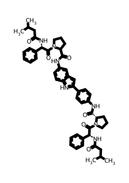 CC(C)CC(=O)N[C@H](C(=O)N1CCCC1C(=O)Nc1ccc2[nH]c(-c3ccc(NC(=O)[C@@H]4CCCN4C(=O)[C@H](NC(=O)CC(C)C)c4ccccc4)cc3)cc2c1)c1ccccc1